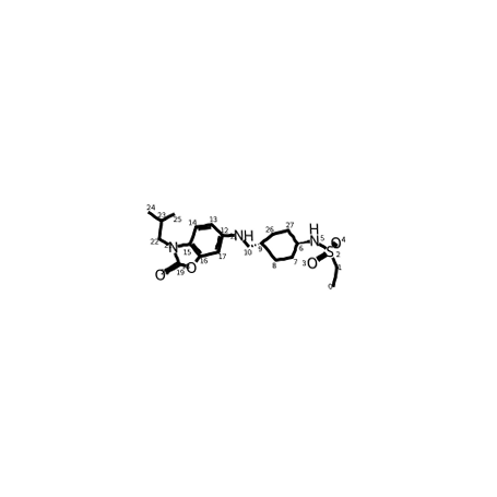 CCS(=O)(=O)N[C@H]1CC[C@H](CNc2ccc3c(c2)oc(=O)n3CC(C)C)CC1